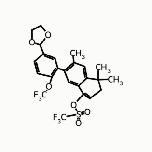 Cc1cc2c(cc1-c1cc(C3OCCO3)ccc1OC(F)(F)F)C(OS(=O)(=O)C(F)(F)F)=CCC2(C)C